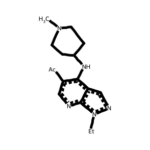 CCn1ncc2c(NC3CCN(C)CC3)c(C(C)=O)cnc21